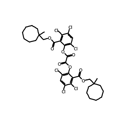 CC1(COC(=O)c2c(Cl)c(Cl)cc(Cl)c2OC(=O)C(=O)Oc2c(Cl)cc(Cl)c(Cl)c2C(=O)OCC2(C)CCCCCCC2)CCCCCCC1